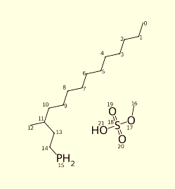 CCCCCCCCCCCC(C)CCP.COS(=O)(=O)O